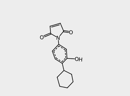 O=C1C=CC(=O)N1c1ccc(C2CCCCC2)c(O)c1